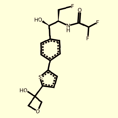 O=C(N[C@H](CF)[C@H](O)c1ccc(-c2ccc(C3(O)COC3)s2)cc1)C(F)F